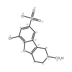 O=C(O)N1CCc2oc3c(Cl)cc(S(=O)(=O)Cl)cc3c2C1